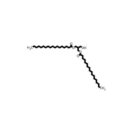 CCCCCCCCCCCCCCCCCC(=O)OCC(CO)COC(=O)CCCCCCCCCCCCCCCCC